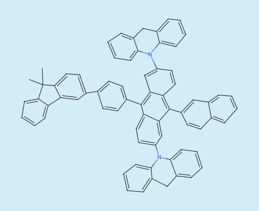 CC1(C)c2ccccc2-c2cc(-c3ccc(-c4c5ccc(N6c7ccccc7Cc7ccccc76)cc5c(-c5ccc6ccccc6c5)c5ccc(N6c7ccccc7Cc7ccccc76)cc45)cc3)ccc21